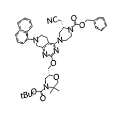 CC(C)(C)OC(=O)N1C[C@H](COc2nc3c(c(N4CCN(C(=O)OCc5ccccc5)[C@@H](CC#N)C4)n2)CCN(c2cccc4ccccc24)C3)OCC1(C)C